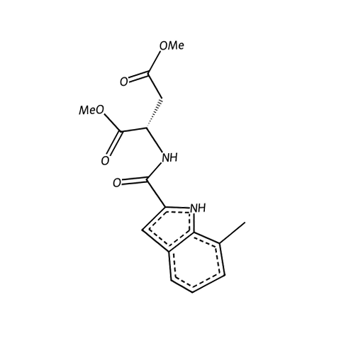 COC(=O)C[C@H](NC(=O)c1cc2cccc(C)c2[nH]1)C(=O)OC